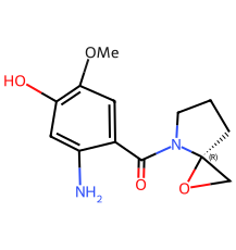 COc1cc(C(=O)N2CCC[C@@]23CO3)c(N)cc1O